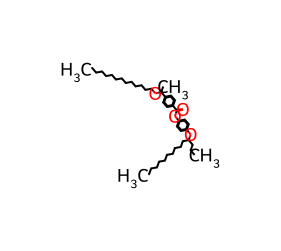 CCCCCCCCCCCCCCOC(C)c1ccc(C(=O)Oc2ccc(OC(CCC)CCCCCCCCCCC)cc2)cc1